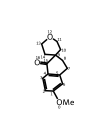 COc1ccc2c(c1)CCC1(CCOCC1)C2=O